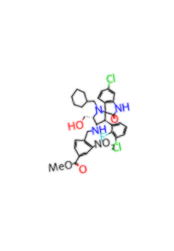 COC(=O)c1ccc(CN[C@@H]2[C@H](CO)N(CC3CCCCC3)[C@@]3(C(=O)Nc4cc(Cl)ccc43)[C@H]2c2cccc(Cl)c2F)c([N+](=O)[O-])c1